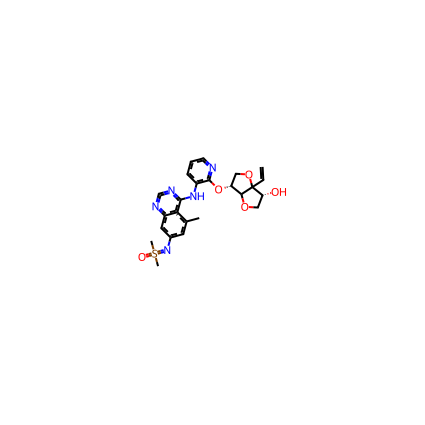 C=CC12OC[C@@H](Oc3ncccc3Nc3ncnc4cc(N=S(C)(C)=O)cc(C)c34)C1OC[C@H]2O